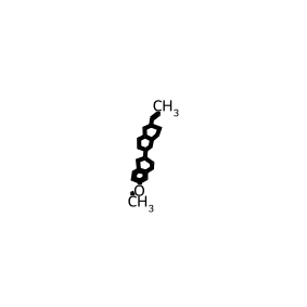 CC=CC1CCC2CC(C3CCc4cc(OCC)ccc4C3)CCC2C1